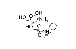 C[C@@H](Cc1ccccc1)NC(=O)[C@@H](C)OC1[C@H](N)C(O)OC(CO)[C@H]1O